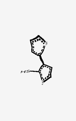 Sc1sccc1-c1cccs1